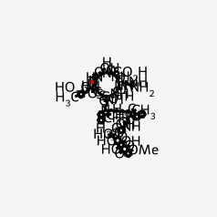 COc1cccc2c1C(=O)c1c(O)c3c(c(O)c1C2=O)C[C@@](O)(C(=O)CO)C[C@@H]3O[C@H]1C[C@H](NC(=O)CC[N+]2=C(/C=C/C=C/C=C/C=C3/N(CCC(=O)N[C@@H]4CSSC[C@@H](C(=O)N[C@@H](Cc5ccc(C)cc5)C(=O)O)NC(=O)[C@@H]5CCCN5C(=O)[C@H](CO)NC(=O)[C@H](CC(=O)O)NC(=O)[C@H](CCCNC(=N)N)NC(=O)CNC4=O)c4ccc5ccccc5c4C3(C)C)C(C)(C)c3c2ccc2ccccc32)[C@H](O)[C@H](C)O1